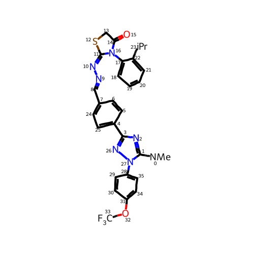 CNc1nc(-c2ccc(C=NN=C3SCC(=O)N3c3ccccc3C(C)C)cc2)nn1-c1ccc(OC(F)(F)F)cc1